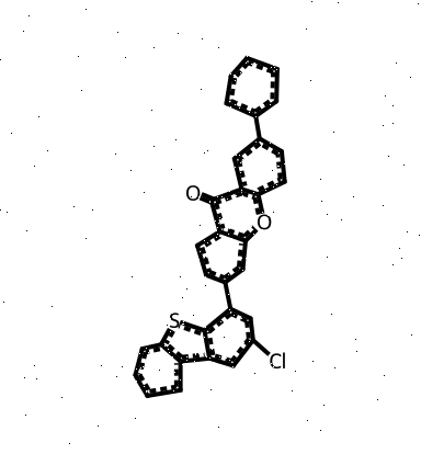 O=c1c2ccc(-c3cc(Cl)cc4c3sc3ccccc34)cc2oc2ccc(-c3ccccc3)cc12